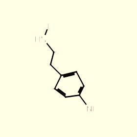 Nc1ccc(CCNI)cc1